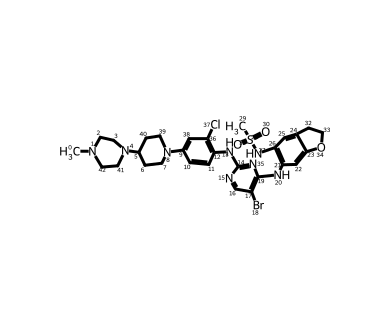 CN1CCN(C2CCN(c3ccc(Nc4ncc(Br)c(Nc5cc6c(cc5NS(C)(=O)=O)CCO6)n4)c(Cl)c3)CC2)CC1